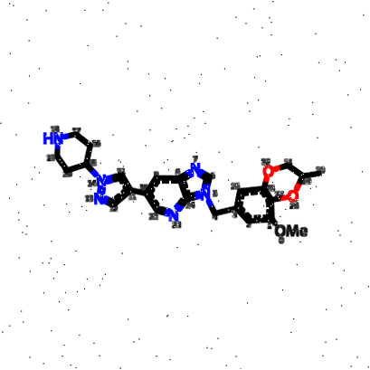 COc1cc(Cn2cnc3cc(-c4cnn(C5CCNCC5)c4)cnc32)cc2c1OC(C)CO2